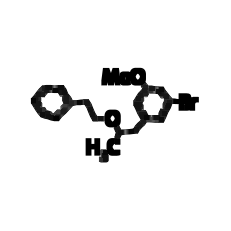 COc1cc(Br)cc(CC(C)OCCc2ccccc2)c1